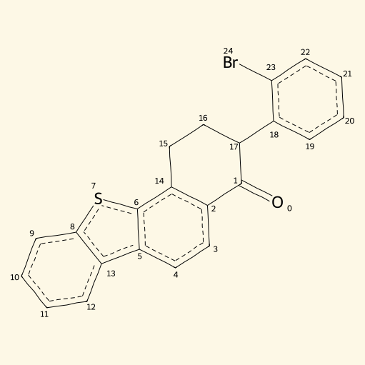 O=C1c2ccc3c(sc4ccccc43)c2CCC1c1ccccc1Br